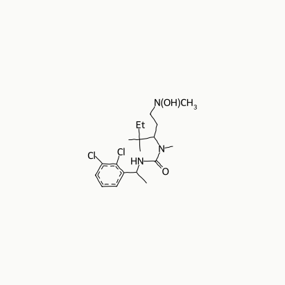 CCC(C)(C)C(CCN(C)O)N(C)C(=O)NC(C)c1cccc(Cl)c1Cl